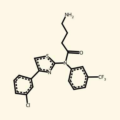 NCCCC(=O)N(c1cccc(C(F)(F)F)c1)c1nc(-c2cccc(Cl)c2)cs1